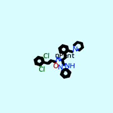 CCCCCN(C(=O)C=Cc1c(Cl)cccc1Cl)C(Cc1ccccc1CN1CCCCC1)c1nc2ccccc2[nH]1